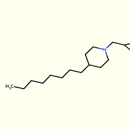 CCCCCCCCC1CCN(CC2CC2)CC1